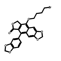 O=C1OCc2c1c(-c1ccc3c(c1)OCO3)c1cc3c(cc1c2OCCCCBr)OCO3